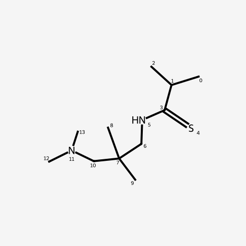 CC(C)C(=S)NCC(C)(C)CN(C)C